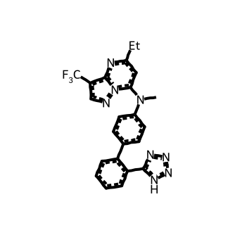 CCc1cc(N(C)c2ccc(-c3ccccc3-c3nnn[nH]3)cc2)n2ncc(C(F)(F)F)c2n1